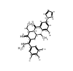 CC[C@H]1C/C(=C(/NC)c2cc(F)c(F)c(F)c2)C(=N)[C@@H](CC)N1C(=O)c1cc(F)cc(-n2cccn2)c1